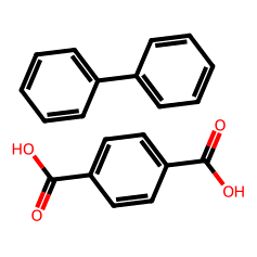 O=C(O)c1ccc(C(=O)O)cc1.c1ccc(-c2ccccc2)cc1